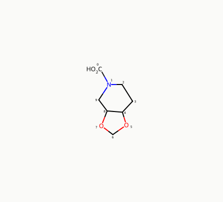 O=C(O)N1CCC2OCOC2C1